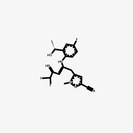 C[C@@H](O)c1cc(F)ccc1N/C(=C\C(=N)C(F)F)Cc1cc(C#N)nn1C